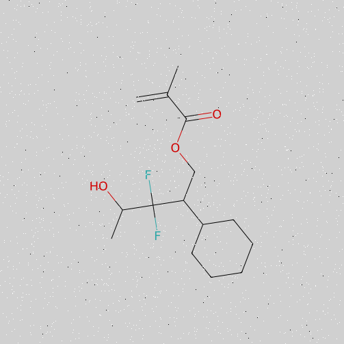 C=C(C)C(=O)OCC(C1CCCCC1)C(F)(F)C(C)O